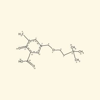 Cc1cn(COCC[Si](C)(C)C)cc(C(=O)O)c1=O